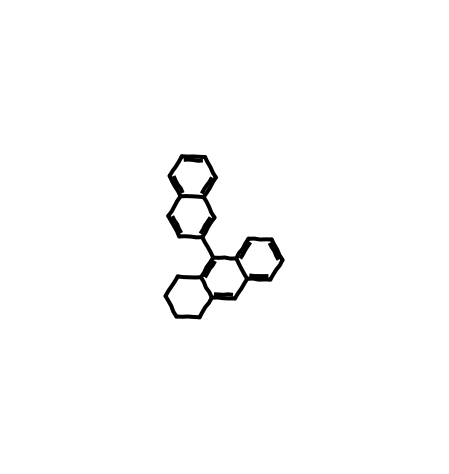 c1ccc2cc(-c3c4c(cc5ccccc35)CCCC4)ccc2c1